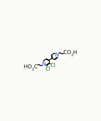 O=C(O)CCN1C=CC(C2=CCN(CCC(=O)O)C(Cl)=C2Cl)=CC1